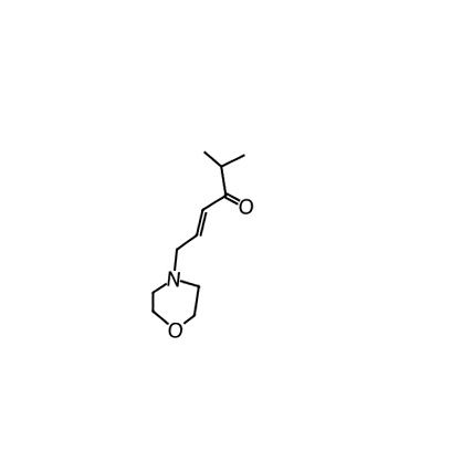 CC(C)C(=O)/C=C/CN1CCOCC1